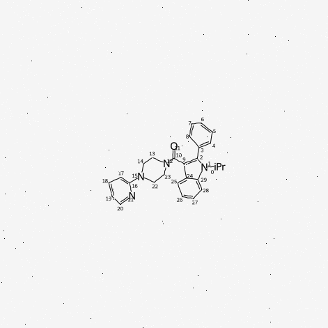 CC(C)n1c(-c2ccccc2)c(C(=O)N2CCN(c3ccccn3)CC2)c2ccccc21